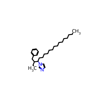 CCCCCCCCCCCCCCCC(C(CC)Cc1ccccc1)n1ccnc1